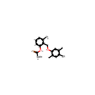 CCc1cc(C)c(OCc2c(CC)cccc2OC(=S)NC)cc1C